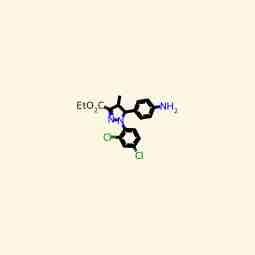 CCOC(=O)C1=NN(c2ccc(Cl)cc2Cl)C(c2ccc(N)cc2)C1C